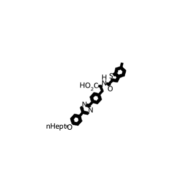 CCCCCCCOc1ccc(-c2cnc(-c3ccc(CC(NC(=O)c4cc5ccc(C)cc5s4)C(=O)O)cc3)nc2)cc1